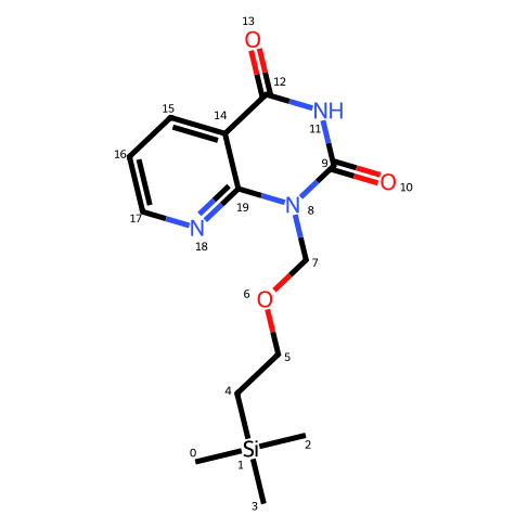 C[Si](C)(C)CCOCn1c(=O)[nH]c(=O)c2cccnc21